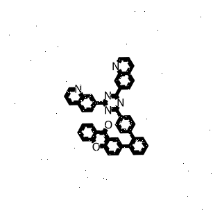 O=c1c2ccccc2oc2ccc(-c3ccccc3-c3ccc(-c4nc(-c5ccc6cccnc6c5)nc(-c5ccc6cccnc6c5)n4)cc3)cc12